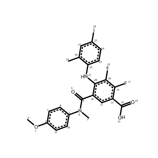 COc1ccc(N(C)C(=O)c2cc(C(=O)O)c(F)c(F)c2Nc2ccc(I)cc2C)cc1